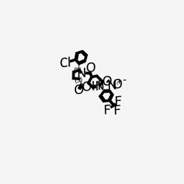 O=C(O)[C@@H]1CC[C@H](c2ccccc2Cl)N1C(=O)C1CCN(c2ccc(C(F)(F)F)cc2[N+](=O)[O-])CC1